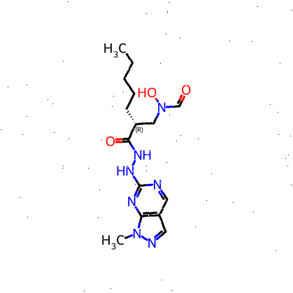 CCCCC[C@H](CN(O)C=O)C(=O)NNc1ncc2cnn(C)c2n1